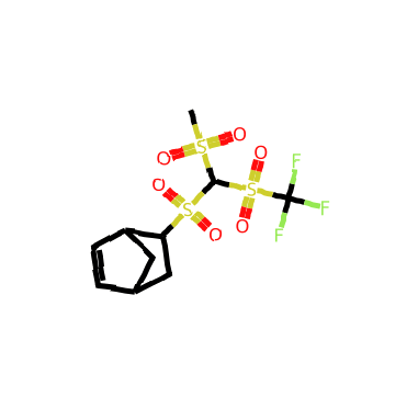 CS(=O)(=O)C(S(=O)(=O)C1CC2C=CC1C2)S(=O)(=O)C(F)(F)F